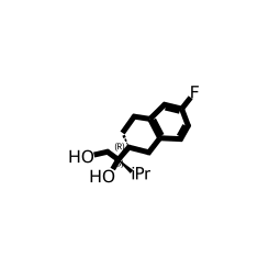 CC(C)[C@@](O)(CO)[C@@H]1CCc2cc(F)ccc2C1